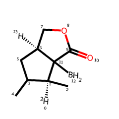 [2H][C@]1(C)C(C)C[C@H]2COC(=O)C21B